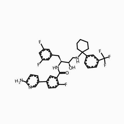 Nc1ccc(-c2ccc(F)c(C(=O)N[C@@H](Cc3cc(F)cc(F)c3)[C@H](O)CNC3(c4cccc(C(F)(F)F)c4)CCCCC3)c2)cn1